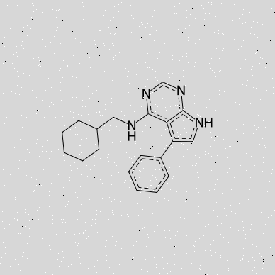 c1ccc(-c2c[nH]c3ncnc(NCC4CCCCC4)c23)cc1